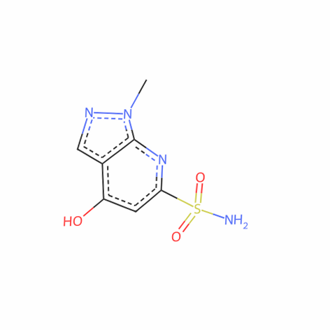 Cn1ncc2c(O)cc(S(N)(=O)=O)nc21